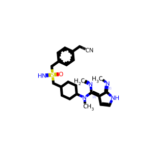 C=N/C(=C1/C=CN/C1=N/C)N(C)C1CCC(CS(=N)(=O)Cc2ccc(CC#N)cc2)CC1